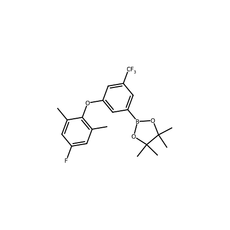 Cc1cc(F)cc(C)c1Oc1cc(B2OC(C)(C)C(C)(C)O2)cc(C(F)(F)F)c1